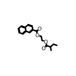 CCC(C)C(=O)OCCOC(=O)c1ccc2ccccc2c1